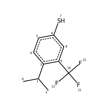 CC(C)c1ccc(S)cc1C(F)(F)F